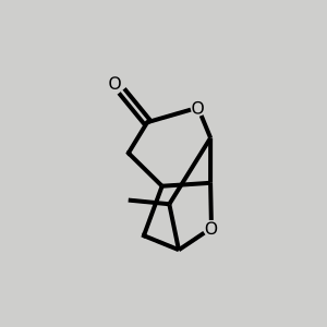 CC1C2CC3CC(=O)OC1C3O2